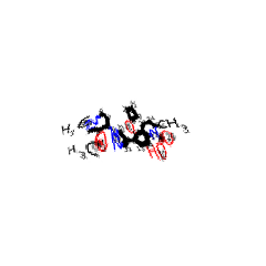 COC1CN(C)CCC1n1cc(-c2ccc3c(c2OC2CCC2)CCC(C)N3C(=O)O)cn1